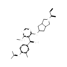 C=CC(=C)N1CC2CC(Nc3ncnc(NC)c3C(=N)c3ccc(N=C(C)C)c(C)c3)CC2C1